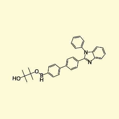 CC(C)(O)C(C)(C)OBc1ccc(-c2ccc(-c3nc4ccccc4n3-c3ccccc3)cc2)cc1